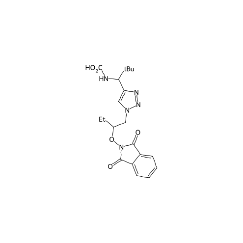 CCC(Cn1cc(C(NC(=O)O)C(C)(C)C)nn1)ON1C(=O)c2ccccc2C1=O